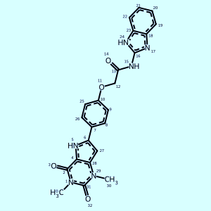 Cn1c(=O)c2[nH]c(-c3ccc(OCC(=O)Nc4nc5ccccc5[nH]4)cc3)cc2n(C)c1=O